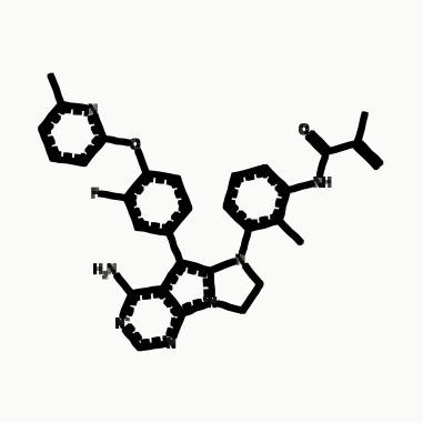 C=C(C)C(=O)Nc1cccc(N2CCn3c2c(-c2ccc(Oc4cccc(C)n4)c(F)c2)c2c(N)ncnc23)c1C